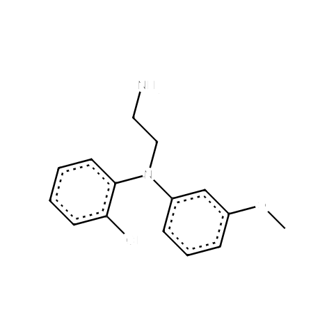 COc1cccc(N(CCN)c2ccccc2O)c1